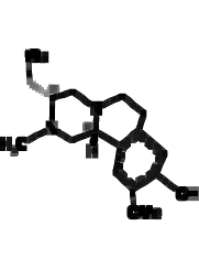 COc1cc2c(cc1O)CCN1C[C@@H](CC(C)(C)C)N(C)C[C@@H]21